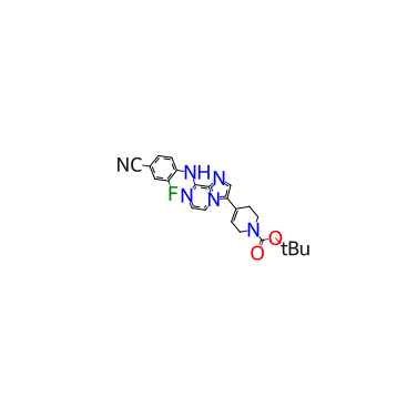 CC(C)(C)OC(=O)N1CC=C(c2cnc3c(Nc4ccc(C#N)cc4F)nccn23)CC1